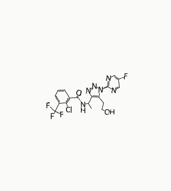 CC(NC(=O)c1cccc(C(F)(F)F)c1Cl)c1nnn(-c2ncc(F)cn2)c1CCO